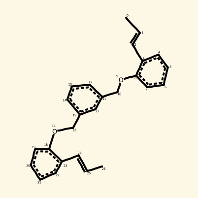 CC=Cc1ccccc1OCc1cccc(COc2ccccc2C=CC)c1